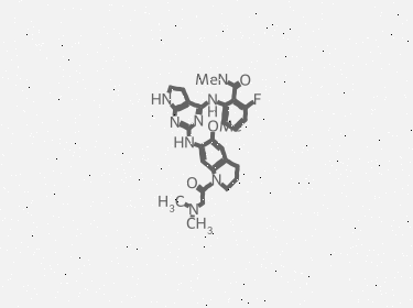 CNC(=O)c1c(F)cccc1Nc1nc(Nc2cc3c(cc2OC)CCCN3C(=O)CN(C)C)nc2c1CCN2